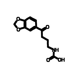 O=C(O)NCCCC(=O)c1ccc2c(c1)OCO2